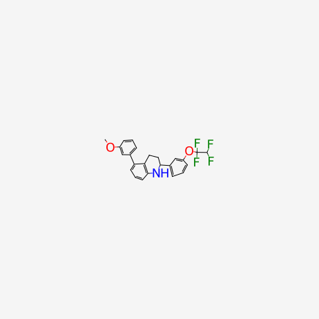 COc1cccc(-c2cccc3c2CCC(c2cccc(OC(F)(F)C(F)F)c2)N3)c1